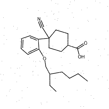 CCCCC(CC)COc1ccccc1C1(C#N)CCC(C(=O)O)CC1